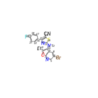 CCc1oc2ncc(Br)cc2c1N(C)c1nc(-c2ccc(F)cc2)c(C#N)s1